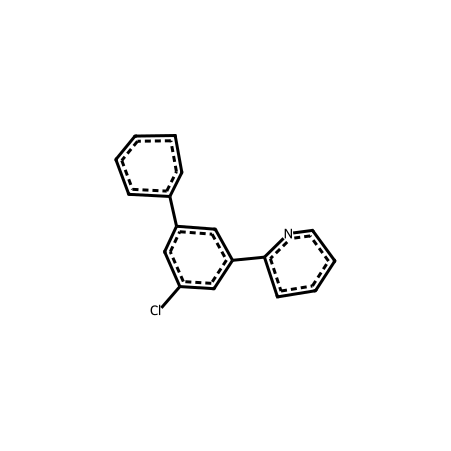 Clc1cc(-c2ccccc2)cc(-c2ccccn2)c1